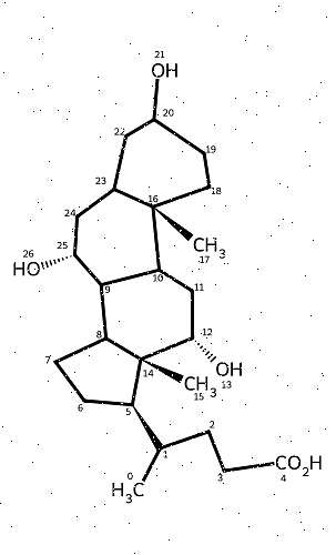 CC(CCC(=O)O)[C@H]1CCC2C3C(C[C@H](O)[C@@]21C)[C@@]1(C)CCC(O)CC1C[C@H]3O